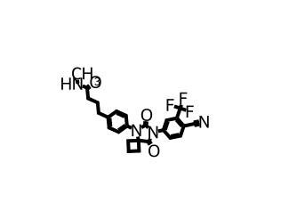 CNC(=O)CCCc1ccc(N2C(=O)N(c3ccc(C#N)c(C(F)(F)F)c3)C(=O)C23CCC3)cc1